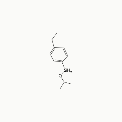 CCc1ccc([SiH2]OC(C)C)cc1